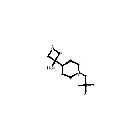 CC(C)(C)CN1CCC(C2(O)COC2)CC1